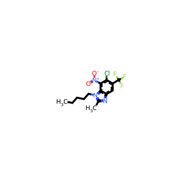 CCCCCn1c(C)nc2cc(C(F)(F)F)c(Cl)c([N+](=O)[O-])c21